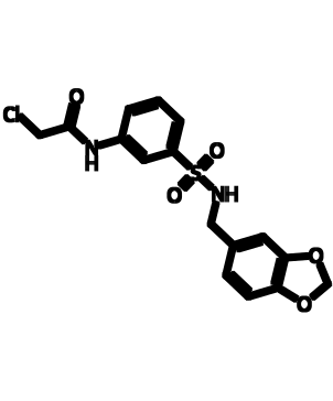 O=C(CCl)Nc1cccc(S(=O)(=O)NCc2ccc3c(c2)OCO3)c1